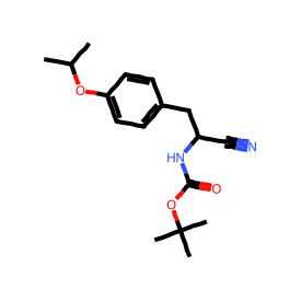 CC(C)Oc1ccc(CC(C#N)NC(=O)OC(C)(C)C)cc1